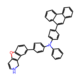 C1=Cc2oc3ccc(-c4ccc(N(c5ccccc5)c5ccc(-c6cc7ccccc7c7ccccc67)cc5)cc4)cc3c2CN1